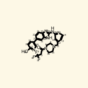 O=C(CC(F)(F)F)N1CCN(Cc2ccnc(Nc3nc4ccc(-c5ccc(O)nc5)cc4[nH]3)c2)CC1